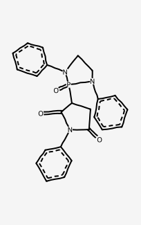 O=C1CC(P2(=O)N(c3ccccc3)CCN2c2ccccc2)C(=O)N1c1ccccc1